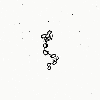 c1cc(-c2ccc(-c3cnc4c5ccccc5c5ccccc5c4n3)cc2)cc(-c2ccc(-c3cccc4c3sc3c(-c5cccc6ccccc56)cccc34)cc2)c1